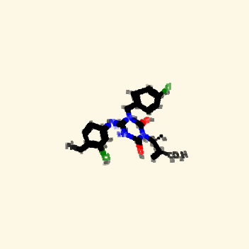 CC(C)Cc1ccc(/N=c2\[nH]c(=O)n([C@H](C)[C@H](C)C(=O)O)c(=O)n2Cc2ccc(Cl)cc2)cc1Cl